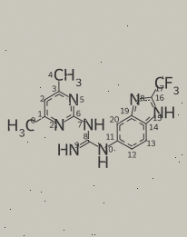 Cc1cc(C)nc(NC(=N)Nc2ccc3[nH]c(C(F)(F)F)nc3c2)n1